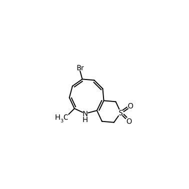 Cc1ccc(Br)ccc2c([nH]1)CCS(=O)(=O)C2